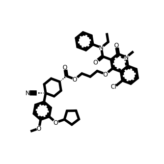 CCN(C(=O)c1c(OCCCOC(=O)[C@H]2CC[C@](C#N)(c3ccc(OC)c(OC4CCCC4)c3)CC2)c2c(Cl)cccc2n(C)c1=O)c1ccccc1